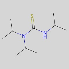 CC(C)NC(=S)N(C(C)C)C(C)C